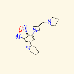 c1c(C2=NCCCC2)cc2nonc2c1N1CC(CN2CCCC2)C1